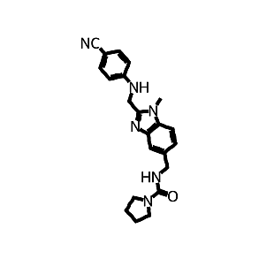 Cn1c(CNc2ccc(C#N)cc2)nc2cc(CNC(=O)N3CCCC3)ccc21